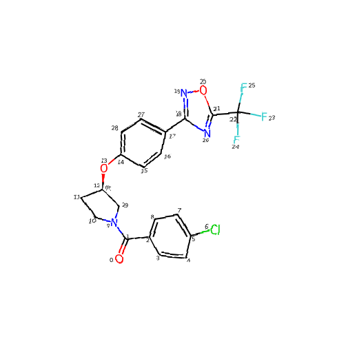 O=C(c1ccc(Cl)cc1)N1CC[C@@H](Oc2ccc(-c3noc(C(F)(F)F)n3)cc2)C1